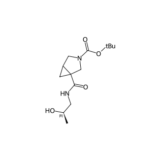 C[C@@H](O)CNC(=O)C12CC1CN(C(=O)OC(C)(C)C)C2